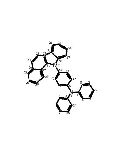 c1ccc(N(c2ccccc2)c2ccc(-n3c4ccccc4c4ccc5ccccc5c43)cc2)cc1